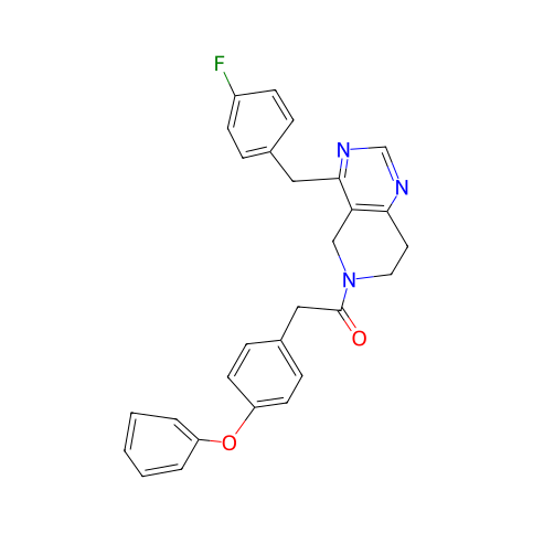 O=C(Cc1ccc(Oc2ccccc2)cc1)N1CCc2ncnc(Cc3ccc(F)cc3)c2C1